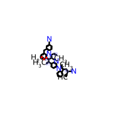 C#C/C(C#N)=C\c1c(C)n(-c2ccc(C(=C/C)/C(=C\C=C)C(/C#N)=C(/C=C\C)N3c4ccccc4Cc4cc(C#N)ccc43)cc2)c2ccccc12